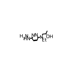 CCN(CC(C)O)c1ccc(NN)nn1